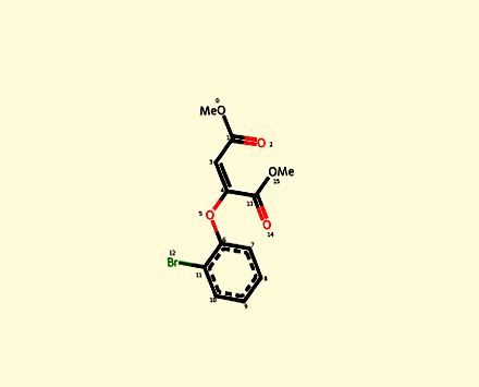 COC(=O)C=C(Oc1ccccc1Br)C(=O)OC